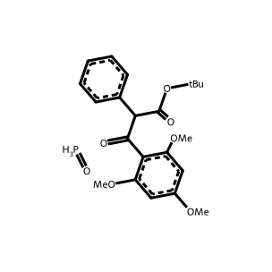 COc1cc(OC)c(C(=O)C(C(=O)OC(C)(C)C)c2ccccc2)c(OC)c1.O=[PH3]